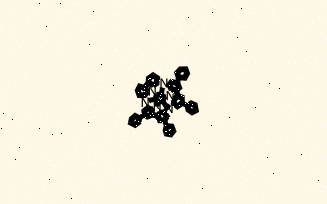 N#Cc1c(-n2c3ccccc3c3ccccc32)c(C#N)c(-n2c3ccc(-c4ccccc4)cc3c3cc(-c4ccccc4)ccc32)c(C#N)c1-n1c2ccc(-c3ccccc3)cc2c2cc(-c3ccccc3)ccc21